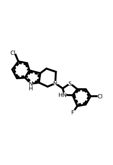 Fc1cc(Cl)cc2c1NC(N1CCc3c([nH]c4ccc(Cl)cc34)C1)S2